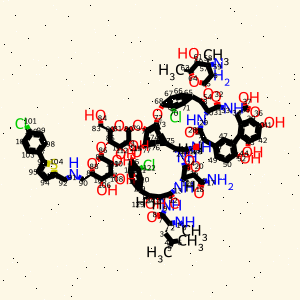 CN[C@H](CC(C)C)C(=O)N[C@H]1C(=O)N[C@@H](CC(N)=O)C(=O)N[C@H]2C(=O)N[C@H]3C(=O)NC(C(=O)N[C@@H](C(=O)O)c4cc(O)cc(O)c4-c4cc3ccc4O)C(O[C@H]3C[C@](C)(N)[C@@H](O)[C@H](C)O3)c3ccc(c(Cl)c3)Oc3cc2cc(c3OC2O[C@H](CO)[C@@H](OC3O[C@H](CNCc4ccc(-c5ccc(Cl)cc5)s4)[C@H](O)[C@H](O)[C@H]3O)[C@H](O)[C@H]2O)Oc2ccc(cc2Cl)[C@H]1O